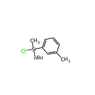 CCCC[Si](C)(Cl)c1cccc(C)c1